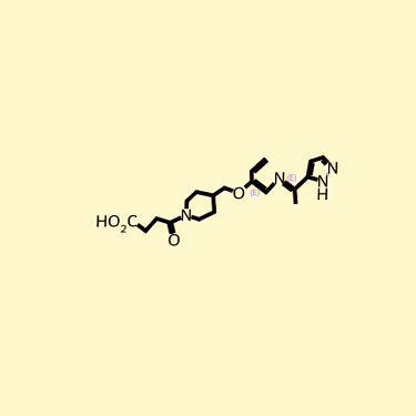 C=C/C(=C\N=C(/C)c1ccn[nH]1)OCC1CCN(C(=O)CCC(=O)O)CC1